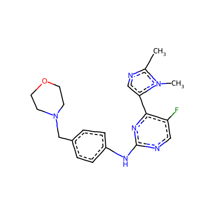 Cc1ncc(-c2nc(Nc3ccc(CN4CCOCC4)cc3)ncc2F)n1C